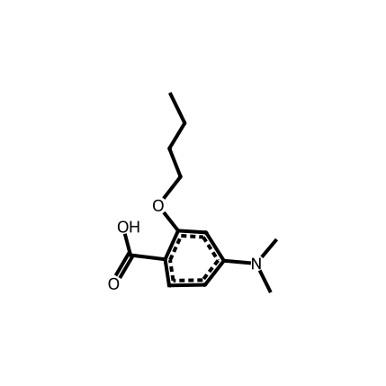 CCCCOc1cc(N(C)C)ccc1C(=O)O